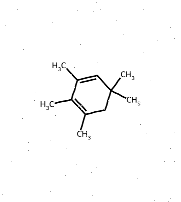 CC1=CC(C)(C)CC(C)=C1C